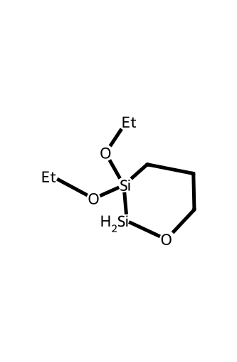 CCO[Si]1(OCC)CCCO[SiH2]1